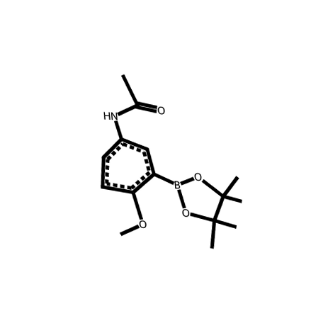 COc1ccc(NC(C)=O)cc1B1OC(C)(C)C(C)(C)O1